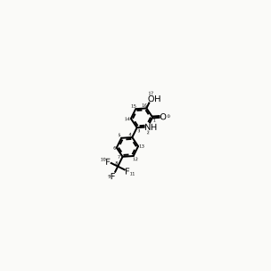 O=c1[nH]c(-c2ccc(C(F)(F)F)cc2)ccc1O